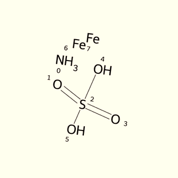 N.O=S(=O)(O)O.[Fe].[Fe]